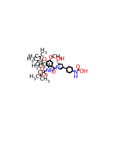 COc1cc(C(=O)N2C=C(c3ccc(NC(=O)O)cc3)C[C@H]2CO)c(NC(=O)OC(C)(C)C)cc1O[Si](C(C)C)(C(C)C)C(C)C